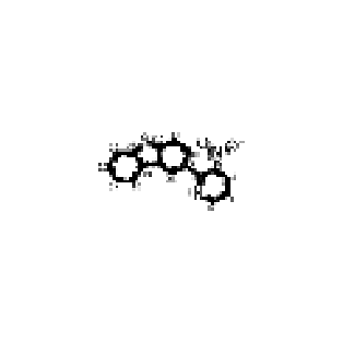 O=[N+]([O-])c1cccnc1-c1ccc2sc3ccccc3c2c1